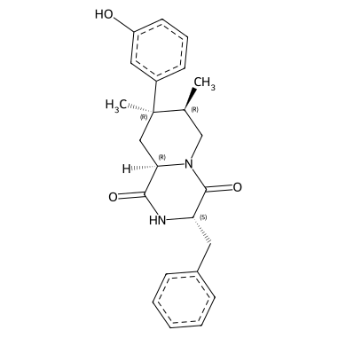 C[C@H]1CN2C(=O)[C@H](Cc3ccccc3)NC(=O)[C@H]2C[C@@]1(C)c1cccc(O)c1